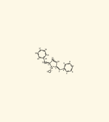 [O-][S+]1C(=Cc2ccccc2)C=NC1=Nc1ccccc1